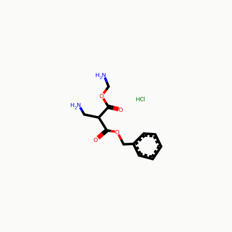 Cl.NCOC(=O)C(CN)C(=O)OCc1ccccc1